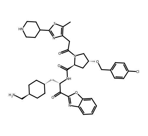 Cc1sc(C2CCNCC2)nc1CC(=O)N1C[C@H](OCc2ccc(Cl)cc2)C[C@H]1C(=O)N[C@@H](C[C@H]1CC[C@H](CN)CC1)C(=O)c1nc2ccccc2o1